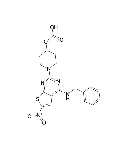 O=C(O)OC1CCN(c2nc(NCc3ccccc3)c3cc([N+](=O)[O-])sc3n2)CC1